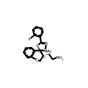 CC(=O)N1N=C(c2ccccc2F)S[C@@]12c1ccccc1CC[C@H]2CCN